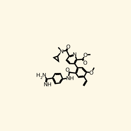 C=Cc1cc(C(=O)Nc2ccc(C(=N)N)cc2)c(-c2ccc(C(=O)N(C)C3CC3)nc2C(=O)OC)cc1OC